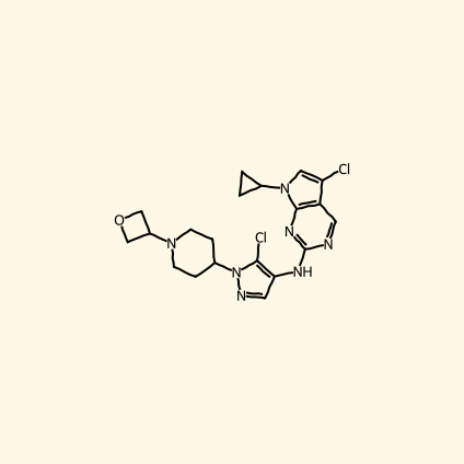 Clc1cn(C2CC2)c2nc(Nc3cnn(C4CCN(C5COC5)CC4)c3Cl)ncc12